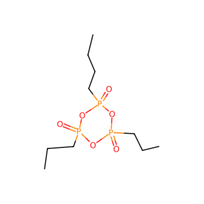 CCCCP1(=O)OP(=O)(CCC)OP(=O)(CCC)O1